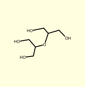 OCC(CO)OC(CO)CO